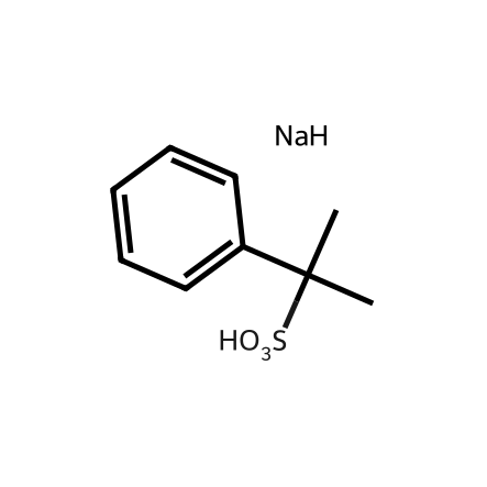 CC(C)(c1ccccc1)S(=O)(=O)O.[NaH]